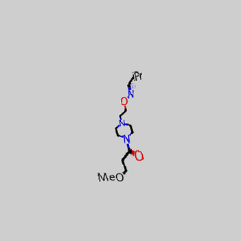 COCCC(=O)N1CCN(CCO/N=C/C(C)C)CC1